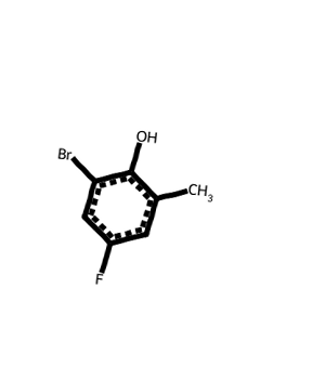 Cc1cc(F)cc(Br)c1O